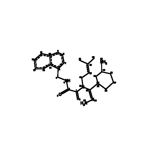 C=C(C(=O)NCc1cccc2ccccc12)N(CC=C(C)C)/C(=N\N)N1CCCC(N)C1